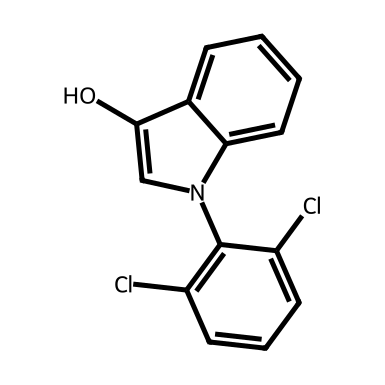 Oc1cn(-c2c(Cl)cccc2Cl)c2ccccc12